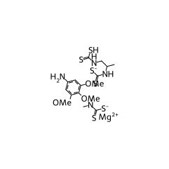 CC(CNC(=S)S)NC(=S)[S-].CN(C)C(=S)[S-].COc1cc(N)cc(OC)c1OC.[Mg+2]